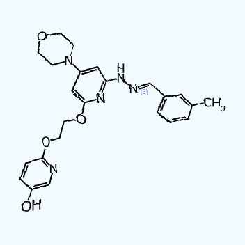 Cc1cccc(/C=N/Nc2cc(N3CCOCC3)cc(OCCOc3ccc(O)cn3)n2)c1